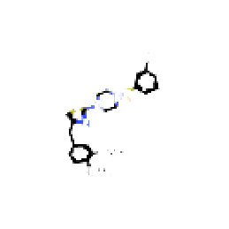 COc1ccc(Cc2csc(N3CCN(S(=O)(=O)c4cccc(C(F)(F)F)c4)CC3)n2)cc1OC